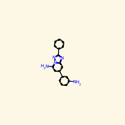 Nc1cccc(-c2cc(N)n3nc(-c4ccccc4)nc3c2)c1